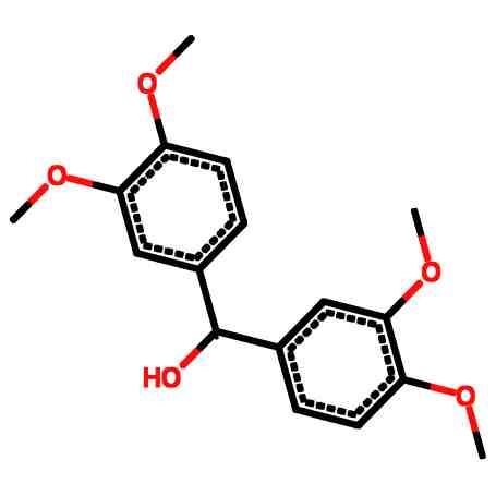 COc1ccc([C](O)c2ccc(OC)c(OC)c2)cc1OC